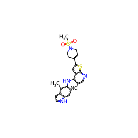 Cc1c(Nc2c(C#N)cnc3sc(C4=CCN(S(C)(=O)=O)CC4)cc23)ccc2[nH]ccc12